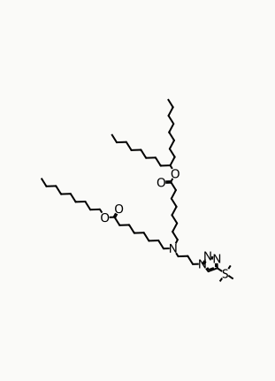 CCCCCCCCCOC(=O)CCCCCCCN(CCCCCCCC(=O)OC(CCCCCCCC)CCCCCCCC)CCCn1cc(S(C)(C)C)nn1